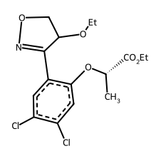 CCOC(=O)[C@H](C)Oc1cc(Cl)c(Cl)cc1C1=NOCC1OCC